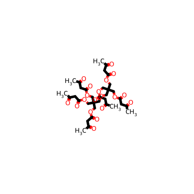 CC(=O)CC(=O)OCC(COCC(COC(=O)CC(C)=O)(COC(=O)CC(C)=O)COC(=O)CC(C)=O)(COC(=O)CC(C)=O)COC(=O)CC(C)=O